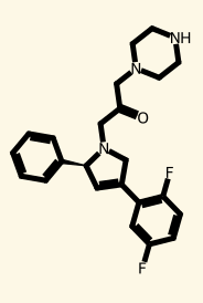 O=C(CN1CCNCC1)CN1CC(c2cc(F)ccc2F)=C[C@H]1c1ccccc1